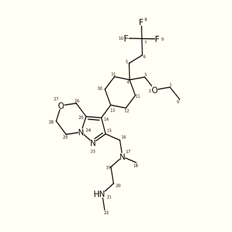 CCOCC1(CCC(F)(F)F)CCC(c2c(CN(C)CCNC)nn3c2COCC3)CC1